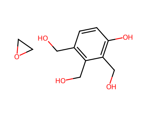 C1CO1.OCc1ccc(O)c(CO)c1CO